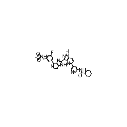 CS(=O)(=O)NCc1cc(F)cc(-c2nccc3[nH]c(-c4n[nH]c5ccc(-c6cncc(NC(=O)C7CCCCC7)c6)nc45)nc23)c1